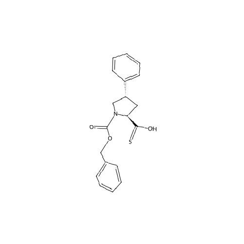 O=C(OCc1ccccc1)N1C[C@H](c2ccccc2)C[C@H]1C(O)=S